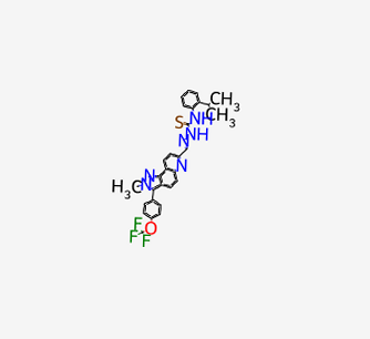 CC(C)c1ccccc1NC(=S)N/N=C/c1ccc2c(ccc3c(-c4ccc(OC(F)(F)F)cc4)n(C)nc32)n1